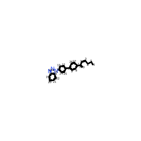 C=C(/C=C\CCC)c1ccc(-c2ccc(-n3nnc4ccccc43)cc2)cc1